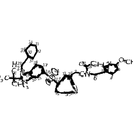 COc1ccc(CN(CCc2cc(S(=O)(=O)c3ccc4c(c3)nc(C(C)(C)C)n4CC3CCCCC3)ccn2)C(C)=O)cc1